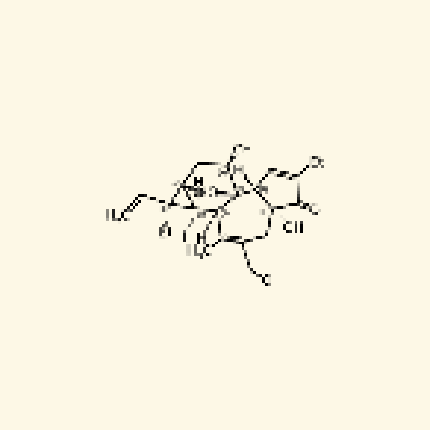 C=C[C@]1(CC)[C@@H]2[C@@H]3C(C)=C(CO)C[C@]4(O)C(=O)C(CC)=C[C@H]4[C@@]3(O)[C@H](C)C[C@]21O